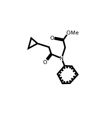 COC(=O)CN(C(=O)CC1CC1)c1ccccc1